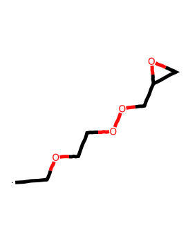 [CH2]COCCOOCC1CO1